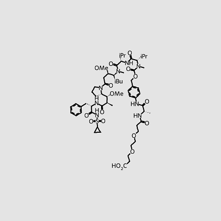 CC[C@H](C)[C@@H]([C@@H](CC(=O)N1CCC[C@H]1[C@H](OC)[C@@H](C)C(=O)N[C@@H](Cc1ccccc1)C(=O)NS(=O)(=O)C1CC1)OC)N(C)C(=O)[C@@H](NC(=O)[C@H](C(C)C)N(C)C(=O)OCc1ccc(NC(=O)[C@H](C)NC(=O)CCOCCOCCC(=O)O)cc1)C(C)C